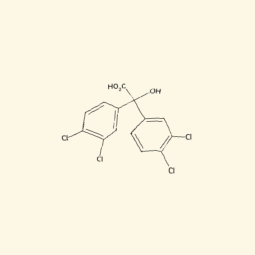 O=C(O)C(O)(c1ccc(Cl)c(Cl)c1)c1ccc(Cl)c(Cl)c1